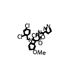 COc1ccc2c(c1)c(C(=O)c1nnc(-c3cccnn3)o1)c(C)n2Cc1ccc(Cl)cc1Cl